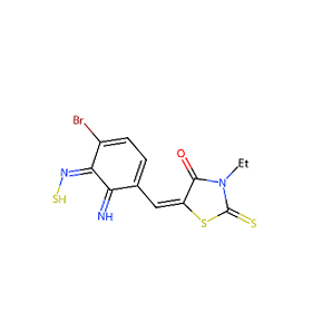 CCN1C(=O)/C(=C\C2=CC=C(Br)/C(=N/S)C2=N)SC1=S